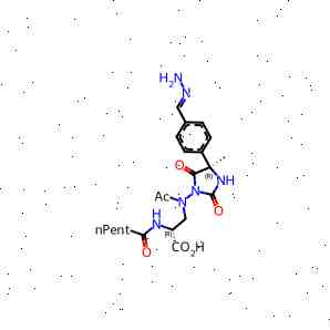 CCCCCC(=O)N[C@H](CN(C(C)=O)N1C(=O)N[C@](C)(c2ccc(C=NN)cc2)C1=O)C(=O)O